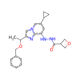 CC(OCc1ccccc1)c1cn2cc(C3CC3)cc(NNC(=O)C3COC3)c2n1